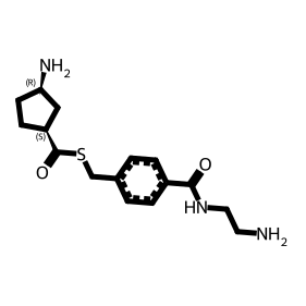 NCCNC(=O)c1ccc(CSC(=O)[C@H]2CC[C@@H](N)C2)cc1